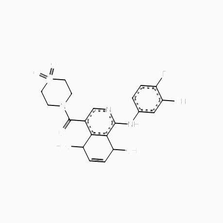 Cc1cc(Nc2ncc(C(=O)N3CCS(=O)(=O)CC3)c3c2C(C)C=CC3C)ccc1F